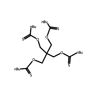 CCCCC(=S)OCC(COC(=S)CCCC)(COC(=S)CCCC)COC(=S)CCCC